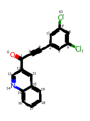 O=C(C#Cc1cc(Cl)cc(Cl)c1)c1cnc2ccccc2c1